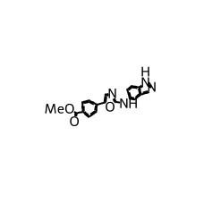 COC(=O)c1ccc(-c2cnc(Nc3ccc4[nH]ncc4c3)o2)cc1